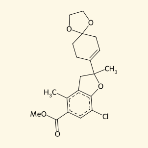 COC(=O)c1cc(Cl)c2c(c1C)CC(C)(C1=CCC3(CC1)OCCO3)O2